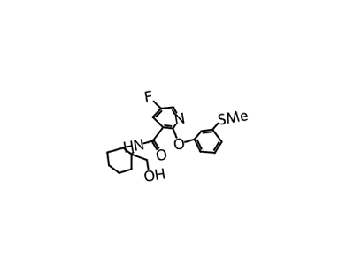 CSc1cccc(Oc2ncc(F)cc2C(=O)NC2(CO)CCCCC2)c1